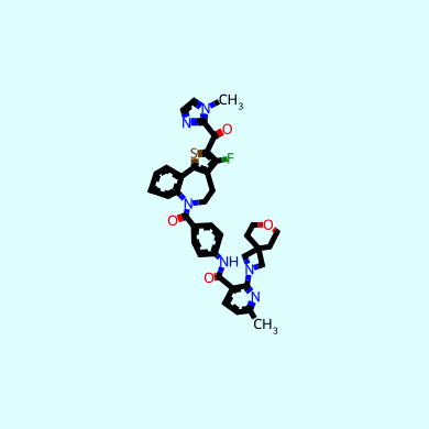 Cc1ccc(C(=O)Nc2ccc(C(=O)N3CCc4c(sc(C(=O)c5nccn5C)c4F)-c4ccccc43)cc2)c(N2CC3(CCOCC3)C2)n1